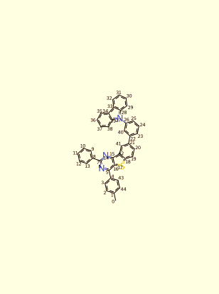 Cc1ccc(-c2nc(-c3ccccc3)nc3c2sc2ccc(-c4cccc(-n5c6ccccc6c6ccccc65)c4)cc23)cc1